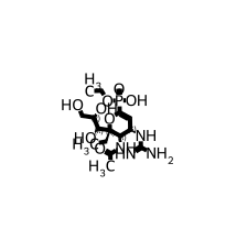 CCOP(=O)(O)C1=C[C@H](NC(=N)N)[C@@H](NC(C)=O)[C@](CC)([C@H](O)[C@H](O)CO)O1